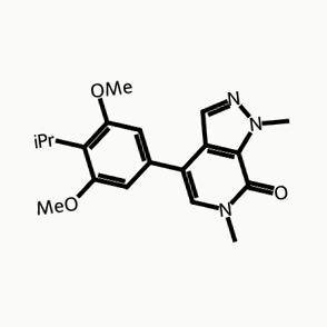 COc1cc(-c2cn(C)c(=O)c3c2cnn3C)cc(OC)c1C(C)C